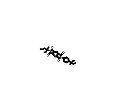 CCCC(C)(CC)n1c(=O)c2cc3c(=O)n(-c4ccc(C(C)(CC)CC)cc4)c(=O)c3cc2c1=O